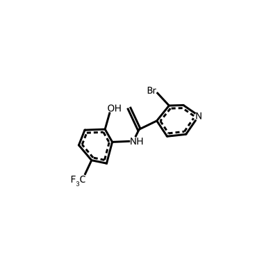 C=C(Nc1cc(C(F)(F)F)ccc1O)c1ccncc1Br